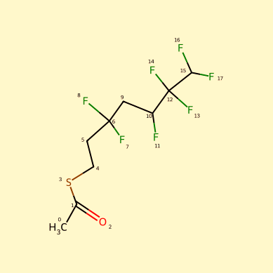 CC(=O)SCCC(F)(F)CC(F)C(F)(F)C(F)F